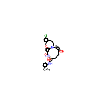 COc1cccc(NC(=O)CC2CC/C=C/[C@H](O)[C@@H]3CC[C@H]3CN3CCCCc4cc(Cl)ccc4COc4ccc(cc43)C(=O)NS2(=O)=O)c1